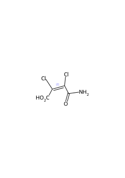 NC(=O)/C(Cl)=C(/Cl)C(=O)O